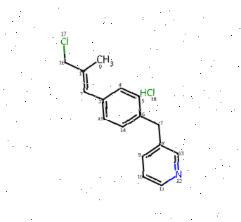 C/C(=C\c1ccc(Cc2cccnc2)cc1)CCl.Cl